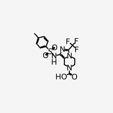 Cc1ccc(S(=O)(=O)Nc2nc(C(F)(F)F)n3c2CN(C(=O)O)CC3)cc1